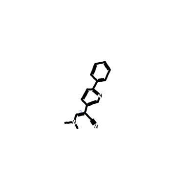 CN(C)/C=C(\C#N)c1ccc(-c2ccccc2)nc1